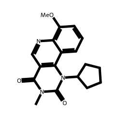 COc1cccc2c1ncc1c(=O)n(C)c(=O)n(C3CCCC3)c12